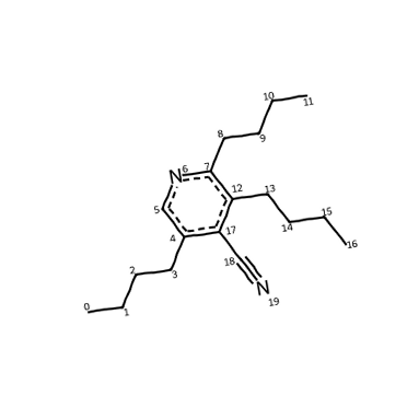 CCCCc1cnc(CCCC)c(CCCC)c1C#N